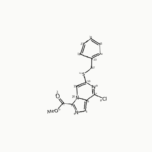 COC(=O)c1ncc2c(Cl)nc(SCc3ccccc3)cn12